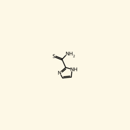 NC(=S)c1ncc[nH]1